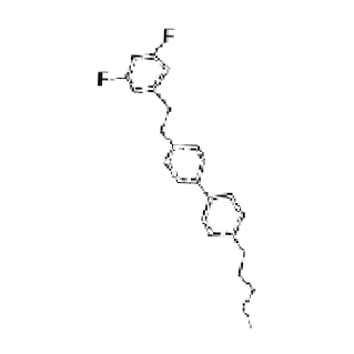 CCCCCc1ccc(-c2ccc(CCc3cc(F)cc(F)c3)cc2)cc1